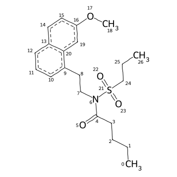 CCCCC(=O)N(CCc1cccc2ccc(OC)cc12)S(=O)(=O)CCC